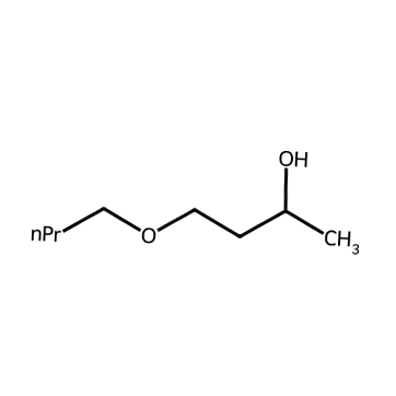 CCCCOCCC(C)O